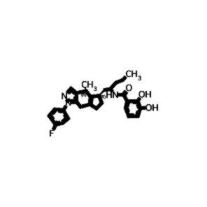 CCCC(C[C@H]1CCC2=C1[C@@H](C)c1cnn(-c3ccc(F)cc3)c1C2)NC(=O)c1cccc(O)c1O